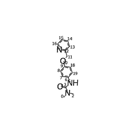 CN(C)C(=O)Nc1ccc(OCc2ccccn2)cc1